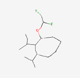 CC(C)C1CCCCC(OC(F)F)C1C(C)C